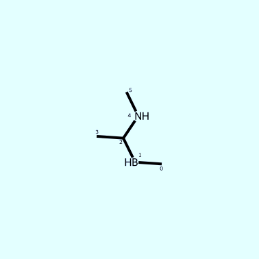 CBC(C)NC